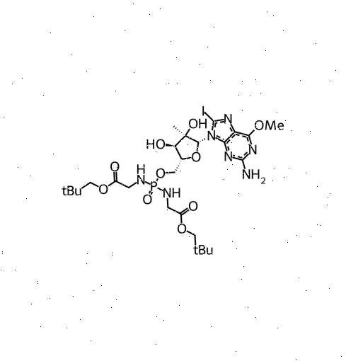 COc1nc(N)nc2c1nc(I)n2[C@@H]1O[C@H](COP(=O)(NCC(=O)OCC(C)(C)C)NCC(=O)OCC(C)(C)C)[C@@H](O)[C@@]1(C)O